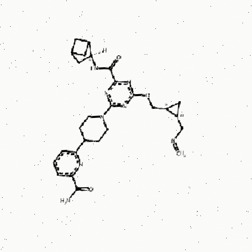 C=NC[C@@H]1C[C@@H]1COc1nc(C(=O)N[C@H]2CC3CC2C3)nc(N2CCC(c3cccc(C(N)=O)n3)CC2)n1